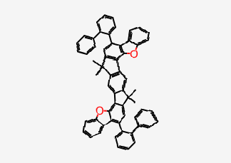 CC1(C)c2cc3c(cc2-c2c1cc(-c1ccccc1-c1ccccc1)c1c2oc2ccccc21)C(C)(C)c1cc(-c2ccccc2-c2ccccc2)c2c(oc4ccccc42)c1-3